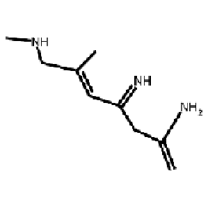 C=C(N)CC(=N)/C=C(\C)CNC